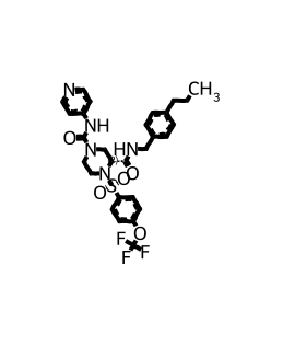 CCCc1ccc(CNC(=O)[C@H]2CN(C(=O)Nc3ccncc3)CCN2S(=O)(=O)c2ccc(OC(F)(F)F)cc2)cc1